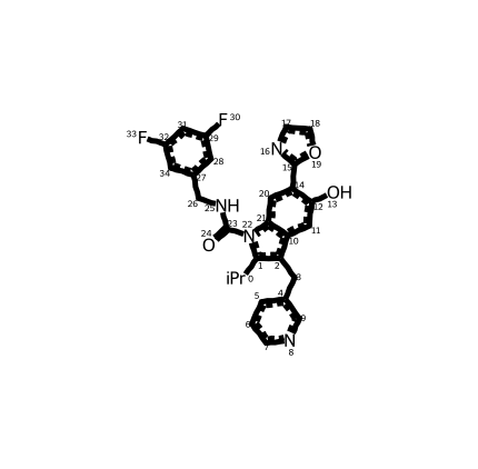 CC(C)c1c(Cc2cccnc2)c2cc(O)c(-c3ncco3)cc2n1C(=O)NCc1cc(F)cc(F)c1